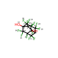 OC1(F)C2(F)C(F)(F)C3C(F)(F)C(O)(C2(F)F)C(F)(F)C1(F)C3(F)F